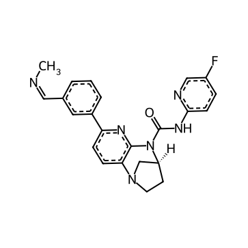 C/N=C\c1cccc(-c2ccc3c(n2)N(C(=O)Nc2ccc(F)cn2)[C@H]2CCN3C2)c1